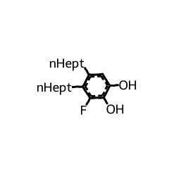 CCCCCCCc1cc(O)c(O)c(F)c1CCCCCCC